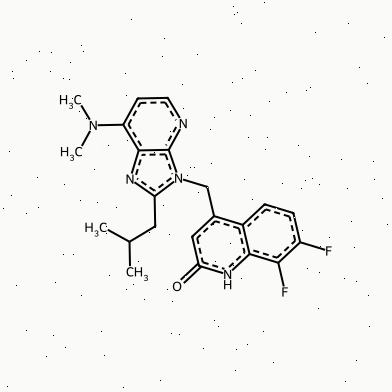 CC(C)Cc1nc2c(N(C)C)ccnc2n1Cc1cc(=O)[nH]c2c(F)c(F)ccc12